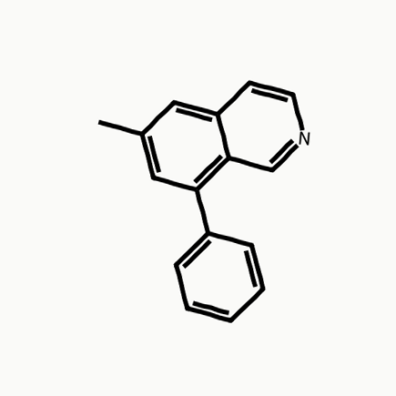 Cc1cc(-c2ccccc2)c2cnccc2c1